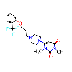 Cn1c(N2CCN(CCCOc3ccccc3C(F)(F)F)CC2)cc(=O)n(C)c1=O